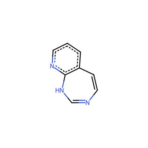 C1=Cc2cccnc2NC=N1